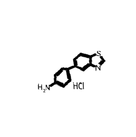 Cl.Nc1ccc(-c2ccc3scnc3c2)cc1